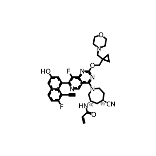 C#Cc1c(F)ccc2cc(O)cc(-c3ncc4c(N5CC[C@@H](C#N)C[C@H](NC(=O)C=C)C5)nc(OCC5(CN6CCOCC6)CC5)nc4c3F)c12